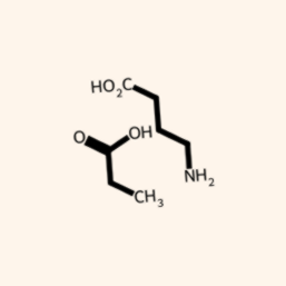 CCC(=O)O.NCCCC(=O)O